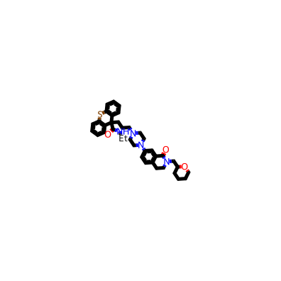 CCNC(=O)C1(CCCN2CCN(c3ccc4c(c3)C(=O)N(CC3CCCCO3)CC4)CC2)c2ccccc2Sc2ccccc21